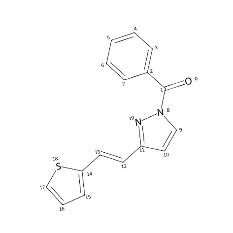 O=C(c1ccccc1)n1ccc(C=Cc2cccs2)n1